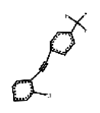 FC(F)(F)c1ccc(C#Cc2ccccc2Cl)cc1